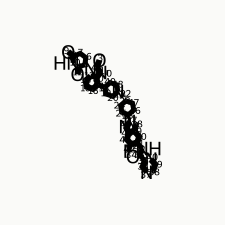 Cn1c(=O)n(C2CCC(=O)NC2=O)c2cccc(C3CCN(C[C@H]4CC[C@H](n5cc6cc(NC(=O)c7cnccn7)c(F)cc6n5)CC4)CC3)c21